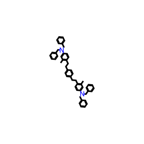 Cc1cc(N(Cc2ccccc2)Cc2ccccc2)ccc1CCc1ccc(CCc2ccc(N(Cc3ccccc3)Cc3ccccc3)cc2C)cc1